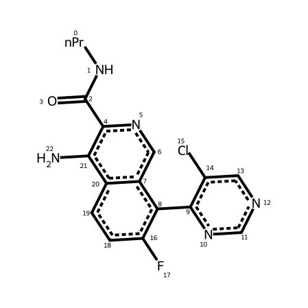 CCCNC(=O)c1ncc2c(-c3ncncc3Cl)c(F)ccc2c1N